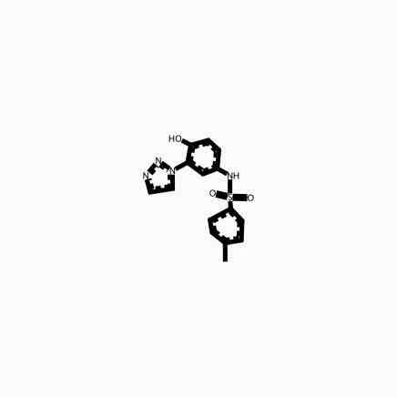 Cc1ccc(S(=O)(=O)Nc2ccc(O)c(-n3ccnn3)c2)cc1